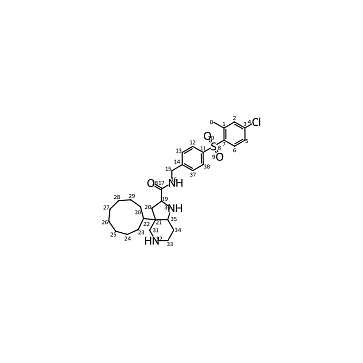 Cc1cc(Cl)ccc1S(=O)(=O)c1ccc(CNC(=O)C2CC3(C4CCCCCCCC4)CNCCC3N2)cc1